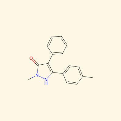 Cc1ccc(-c2[nH]n(C)c(=O)c2-c2ccccc2)cc1